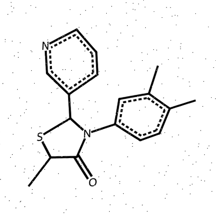 Cc1ccc(N2C(=O)C(C)SC2c2cccnc2)cc1C